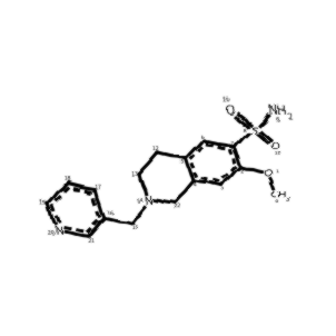 COc1cc2c(cc1S(N)(=O)=O)CCN(Cc1cccnc1)C2